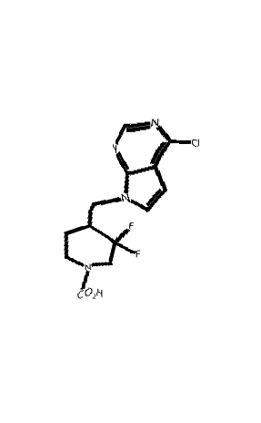 O=C(O)N1CCC(Cn2ccc3c(Cl)ncnc32)C(F)(F)C1